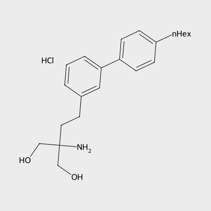 CCCCCCc1ccc(-c2cccc(CCC(N)(CO)CO)c2)cc1.Cl